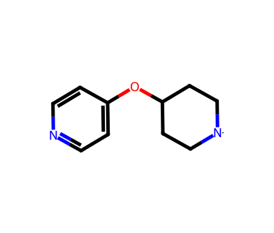 c1cc(OC2CC[N]CC2)ccn1